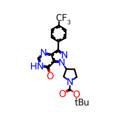 CC(C)(C)OC(=O)N1CCC(n2nc(-c3ccc(C(F)(F)F)cc3)c3nc[nH]c(=O)c32)C1